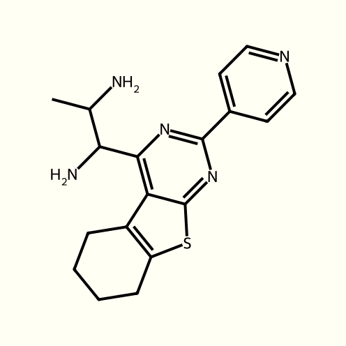 CC(N)C(N)c1nc(-c2ccncc2)nc2sc3c(c12)CCCC3